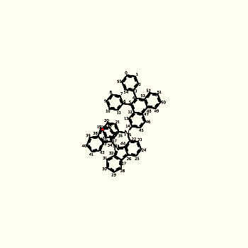 c1ccc(-c2c(-c3ccccc3)c3cc(N(c4ccccc4)c4cccc5c6ccccc6n(-c6cccc7ccccc67)c45)ccc3c3ccccc23)cc1